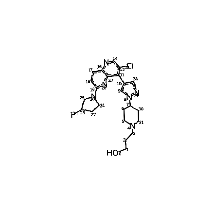 OCCCN1CCC(n2cc(-c3c(Cl)cnc4ccc(N5CCC(F)C5)nc34)cn2)CC1